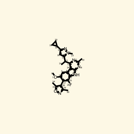 COc1cc2c([nH]c3nc(C)nc(C(C)c4cc(C5CC5)nn4C)c32)c(F)c1-c1c(C)noc1C